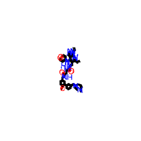 CCc1nc2c(cnn2CC)c(NC2CCOCC2)c1CNC(=O)CCC(=O)NCc1ccc(OC)c(-c2cccc(CN3CCCN(C)CC3)c2)c1